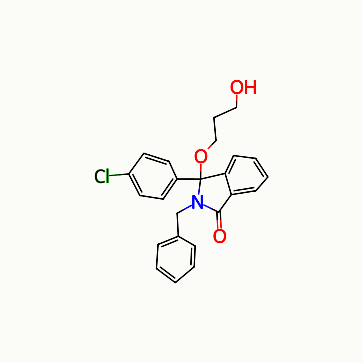 O=C1c2ccccc2C(OCCCO)(c2ccc(Cl)cc2)N1Cc1ccccc1